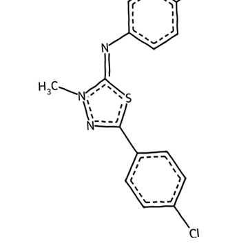 Cn1nc(-c2ccc(Cl)cc2)sc1=Nc1ccc(O)cc1